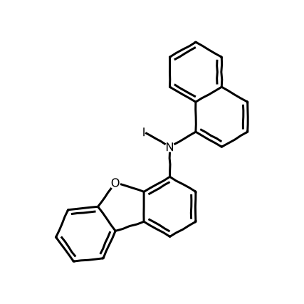 IN(c1cccc2ccccc12)c1cccc2c1oc1ccccc12